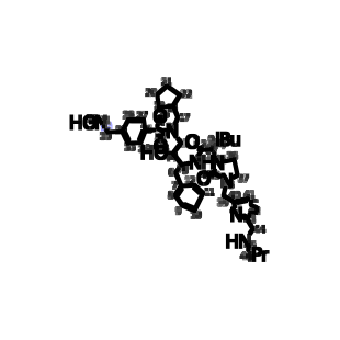 CC[C@@H](C)[C@H](C(=O)N[C@@H](Cc1ccccc1)[C@H](O)CN(CC1CCCC1)S(=O)(=O)c1ccc(/C=N/O)cc1)N1CCN(Cc2csc(CNC(C)C)n2)C1=O